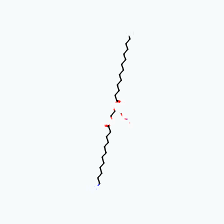 CCCCCCCCCCCCCC(=O)O[C@H](COP=O)COC(=O)CCCCCCCCCCCN